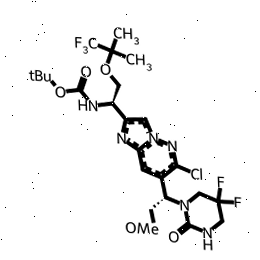 COC[C@H](c1cc2nc([C@H](COC(C)(C)C(F)(F)F)NC(=O)OC(C)(C)C)cn2nc1Cl)N1CC(F)(F)CNC1=O